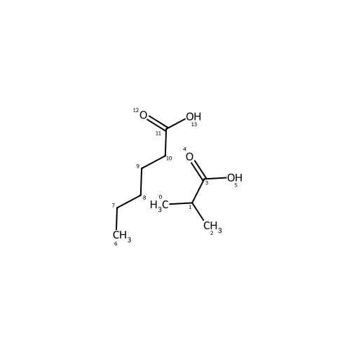 CC(C)C(=O)O.CCCCCC(=O)O